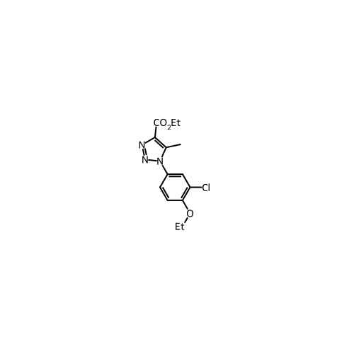 CCOC(=O)c1nnn(-c2ccc(OCC)c(Cl)c2)c1C